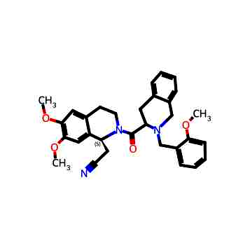 COc1ccccc1CN1Cc2ccccc2CC1C(=O)N1CCc2cc(OC)c(OC)cc2[C@@H]1CC#N